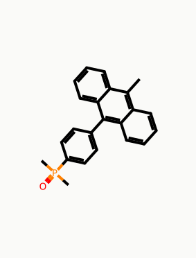 Cc1c2ccccc2c(-c2ccc(P(C)(C)=O)cc2)c2ccccc12